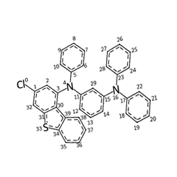 Clc1cc(N(c2ccccc2)c2cccc(N(c3ccccc3)c3ccccc3)c2)c2c(c1)sc1ccccc12